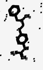 C=C(N)Nc1ccc(CCN(C)Cc2ccccc2)cc1